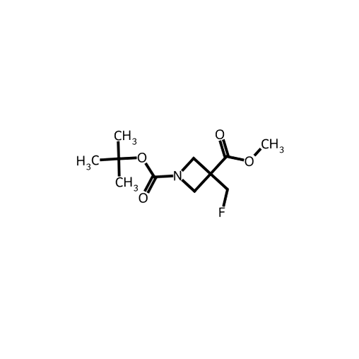 COC(=O)C1(CF)CN(C(=O)OC(C)(C)C)C1